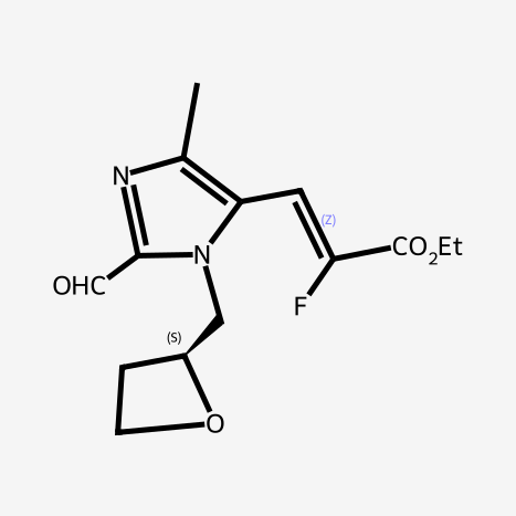 CCOC(=O)/C(F)=C/c1c(C)nc(C=O)n1C[C@@H]1CCO1